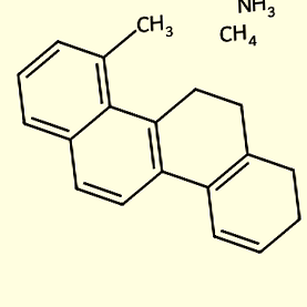 C.Cc1cccc2ccc3c(c12)CCC1=C3C=CCC1.N